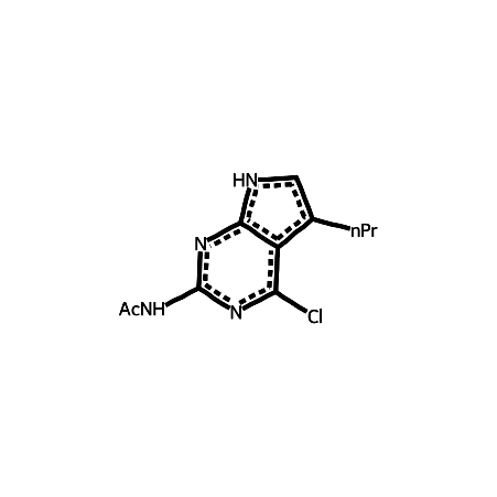 CCCc1c[nH]c2nc(NC(C)=O)nc(Cl)c12